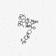 COc1cc2nc(-c3n[nH]cc3NC(=O)C3CCN(c4ccc(C(F)(F)F)cn4)CC3)[nH]c2cc1OC